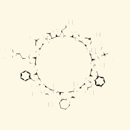 CCCN1CC(=O)N(C)[C@@H](CC(C)C)C(=O)N[C@@H](COC(C)(C)C)C(=O)N(C)[C@@H](Cc2ccccc2)C(=O)N(C)[C@@H](C(C)C)C(=O)N[C@H](C(=O)N2CCCCC2)CC(=O)N[C@H](C(C)C)C(=O)N(C)[C@@H](Cc2ccccc2)C(=O)N[C@@H](COCCN(C)C)C(=O)N(C)[C@@H](CC(C)C)C(=O)N[C@@H]([C@@H](C)O)C1=O